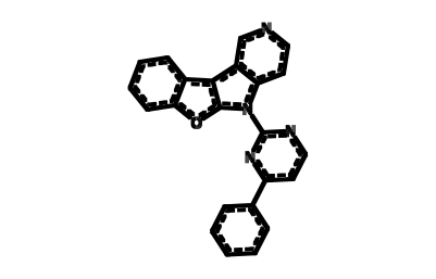 c1ccc(-c2ccnc(-n3c4ccncc4c4c5ccccc5oc43)n2)cc1